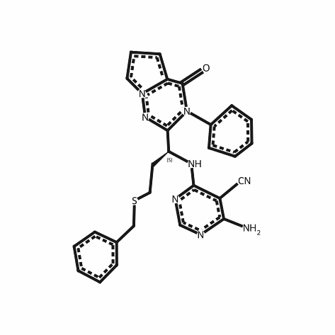 N#Cc1c(N)ncnc1N[C@@H](CCSCc1ccccc1)c1nn2cccc2c(=O)n1-c1ccccc1